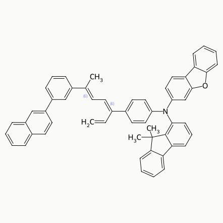 C=C/C(=C\C=C(/C)c1cccc(-c2ccc3ccccc3c2)c1)c1ccc(N(c2ccc3c(c2)oc2ccccc23)c2cccc3c2C(C)(C)c2ccccc2-3)cc1